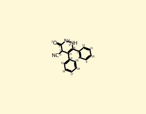 N#CC1C(=O)[N]NC(c2ccccc2)=C1c1ccccc1